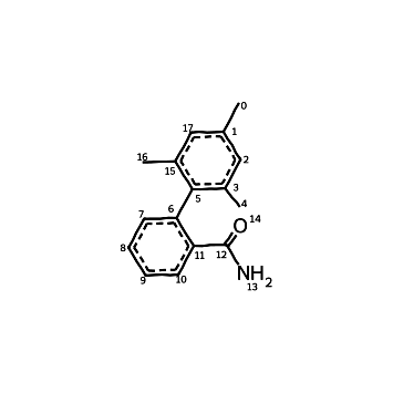 Cc1cc(C)c(-c2ccccc2C(N)=O)c(C)c1